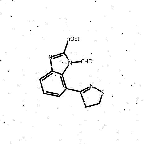 CCCCCCCCc1nc2cccc(C3=NSCC3)c2n1C=O